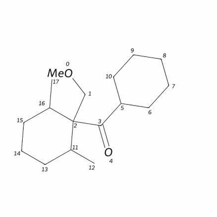 COCC1(C(=O)C2CCCCC2)C(C)CCCC1C